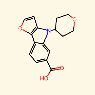 O=C(O)c1ccc2c3occc3n(C3CCOCC3)c2c1